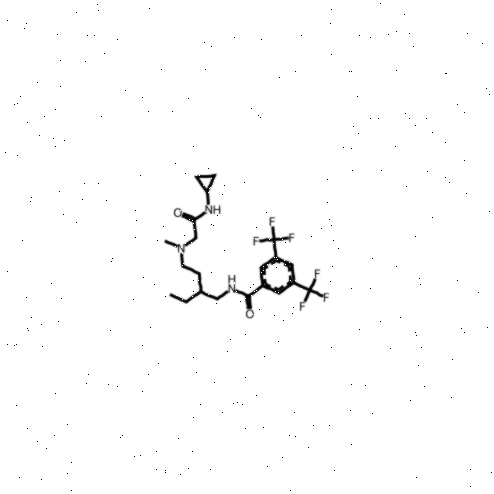 CCC(CCN(C)CC(=O)NC1CC1)CNC(=O)c1cc(C(F)(F)F)cc(C(F)(F)F)c1